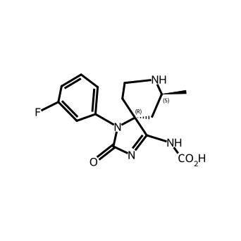 C[C@H]1C[C@]2(CCN1)C(NC(=O)O)=NC(=O)N2c1cccc(F)c1